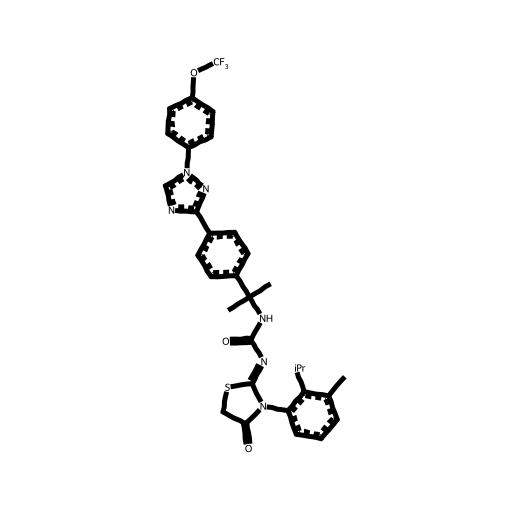 Cc1cccc(N2C(=O)CS/C2=N\C(=O)NC(C)(C)c2ccc(-c3ncn(-c4ccc(OC(F)(F)F)cc4)n3)cc2)c1C(C)C